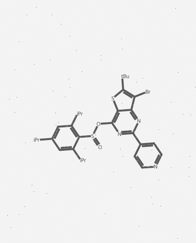 CC(C)c1cc(C(C)C)c(S(=O)Oc2nc(-c3ccncc3)nc3c(Br)c(C(C)(C)C)sc23)c(C(C)C)c1